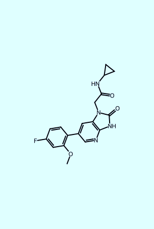 COc1cc(F)ccc1-c1cnc2[nH]c(=O)n(CC(=O)NC3CC3)c2c1